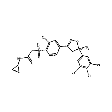 O=C(CS(=O)(=O)c1ccc(C2=NO[C@@](c3cc(Cl)c(Cl)c(Cl)c3)(C(F)(F)F)C2)cc1Cl)NC1CC1